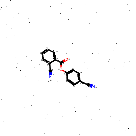 N#Cc1ccc(OC(=O)c2ccccc2C#N)cc1